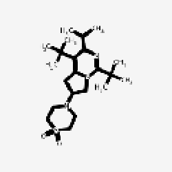 CC(C)C1N=C(C(C)(C)C)N2CC(N3CCS(=O)(=O)CC3)CC2=C1C(C)(C)C